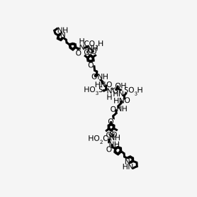 Cc1cc(OCCCC(=O)NCCNC(=O)C(CS(=O)(=O)O)NCOC(O)CNC(CS(=O)(=O)O)C(=O)NCCNC(=O)CCCOc2cc(C)c(S(=O)(=O)N[C@H](CNC(=O)c3ccc(CCc4ccc5c(n4)NCCC5)cc3)C(=O)O)c(C)c2)cc(C)c1S(=O)(=O)N[C@H](CNC(=O)c1ccc(CCc2ccc3c(n2)NCCC3)cc1)C(=O)O